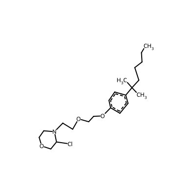 CCCCCC(C)(C)c1ccc(OCCOCCN2CCOCC2Cl)cc1